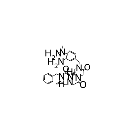 C=CCN1CC(=O)N2CC(=O)N(Cc3ccc(N(C)N)c(N)c3)C[C@@H]2N1C(=O)NCc1ccccc1